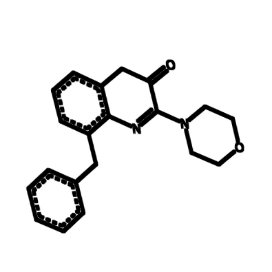 O=C1Cc2cccc(Cc3ccccc3)c2N=C1N1CCOCC1